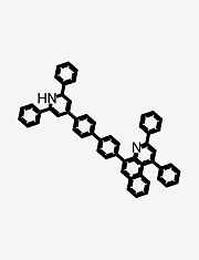 C1=C(c2ccc(-c3ccc(-c4cc5ccccc5c5c(-c6ccccc6)cc(-c6ccccc6)nc45)cc3)cc2)C=C(c2ccccc2)NC1c1ccccc1